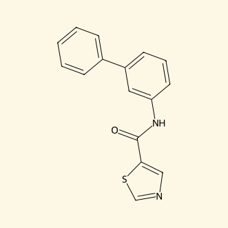 O=C(Nc1cccc(-c2ccccc2)c1)c1cncs1